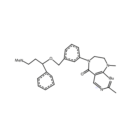 C=C(C)/N=C\C1=C(C(C)CC)N(C)CCN(c2cccc(COC(CCNC)c3ccccc3)c2)C1=O